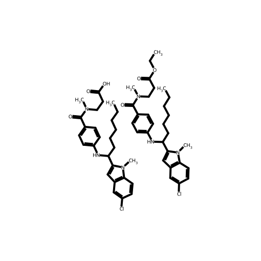 CCCCCCC(Nc1ccc(C(=O)N(C)CCC(=O)O)cc1)c1cc2cc(Cl)ccc2n1C.CCCCCCC(Nc1ccc(C(=O)N(C)CCC(=O)OCC)cc1)c1cc2cc(Cl)ccc2n1C